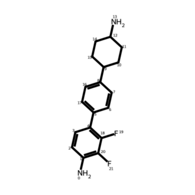 Nc1ccc(-c2ccc(C3CCC(N)CC3)cc2)c(F)c1F